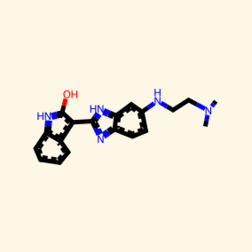 CN(C)CCNc1ccc2nc(-c3c(O)[nH]c4ccccc34)[nH]c2c1